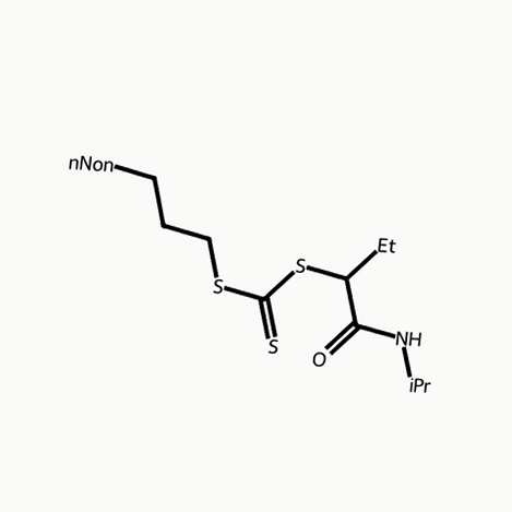 CCCCCCCCCCCCSC(=S)SC(CC)C(=O)NC(C)C